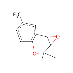 CC1(C)Oc2ccc(C(F)(F)F)cc2C2OC21